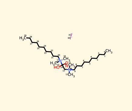 CCCCCCCCCC[N+](C)(C)CC(O)(O)[N+](C)(C)CCCCCCCCCC.[I-].[I-]